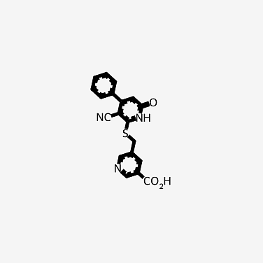 N#Cc1c(-c2ccccc2)cc(=O)[nH]c1SCc1cncc(C(=O)O)c1